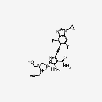 C#CCN1C[C@@H](n2nc(C#Cc3c(F)cc4c(ncn4C4CC4)c3F)c(C(N)=O)c2NC)C[C@@H]1COC